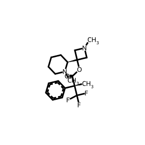 CN1CC(OC(=O)[C@@](C)(c2ccccc2)C(F)(F)F)([C@@H]2CCCCN2C)C1